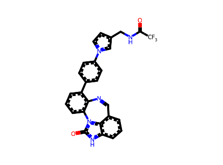 O=C(NCc1ccn(-c2ccc(-c3cccc4c3N=Cc3cccc5[nH]c(=O)n-4c35)cc2)c1)C(F)(F)F